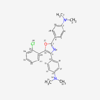 CN(C)c1ccc(-c2nc(-c3ccc(N(C)C)cc3)c(-c3ccccc3Cl)o2)cc1